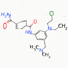 CCN(CCCl)c1cc(CN(C)C)cc(NC(=O)c2ccc(C(N)=O)cc2)c1